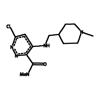 CNC(=O)c1nnc(Cl)cc1NCC1CCN(C)CC1